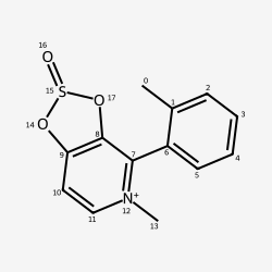 Cc1ccccc1-c1c2c(cc[n+]1C)OS(=O)O2